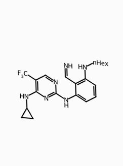 CCCCCCNc1cccc(Nc2ncc(C(F)(F)F)c(NC3CC3)n2)c1C=N